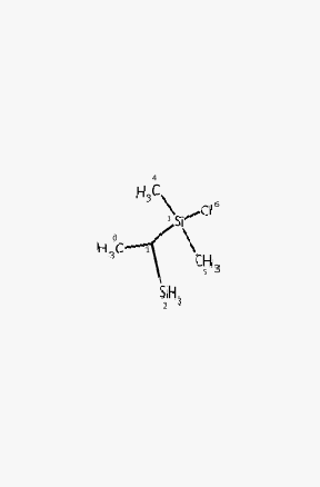 CC([SiH3])[Si](C)(C)Cl